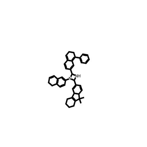 CC1(C)C2=C(CCCC2)C2C=C(C3NC(c4ccc5c(c4)=C(c4ccccc4)CCC=5)N3c3ccc4c(c3)C=CCC4)C=CC21